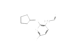 O=CNc1ccc(Cl)nc1OC1CCCC1